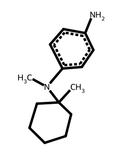 CN(c1ccc(N)cc1)C1(C)CCCCC1